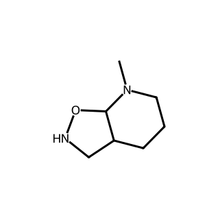 CN1CCCC2CNOC21